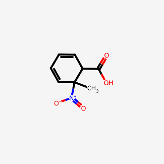 CC1([N+](=O)[O-])C=CC=CC1C(=O)O